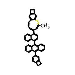 Cc1cc(-c2ccc(-c3c4ccccc4c(-c4ccc5c(c4)CC5)c4ccccc34)c3ccccc23)cccc2cc3c(cc2s1)CC3